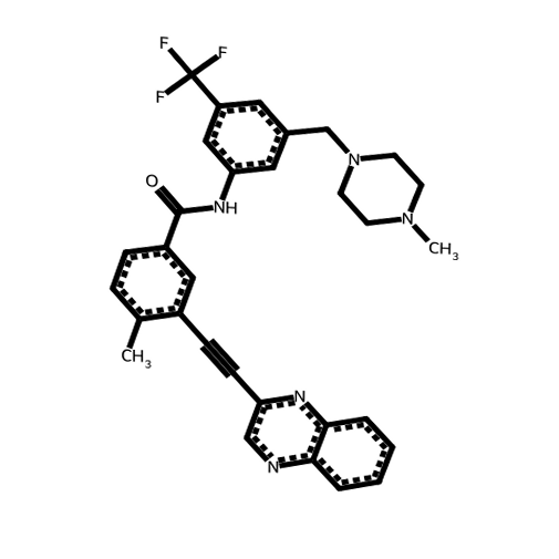 Cc1ccc(C(=O)Nc2cc(CN3CCN(C)CC3)cc(C(F)(F)F)c2)cc1C#Cc1cnc2ccccc2n1